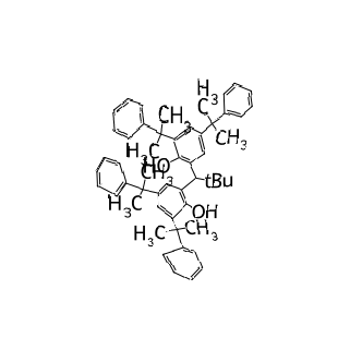 CC(C)(c1ccccc1)c1cc(C(c2cc(C(C)(C)c3ccccc3)cc(C(C)(C)c3ccccc3)c2O)C(C)(C)C)c(O)c(C(C)(C)c2ccccc2)c1